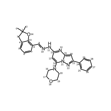 CC1(C)Cc2cccc(C=NNc3cc(N4CCOCC4)n4nc(-c5ccccc5)cc4n3)c2O1